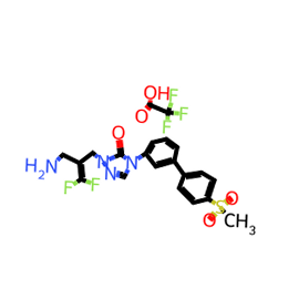 CS(=O)(=O)c1ccc(-c2cccc(-n3cnn(CC(CN)=C(F)F)c3=O)c2)cc1.O=C(O)C(F)(F)F